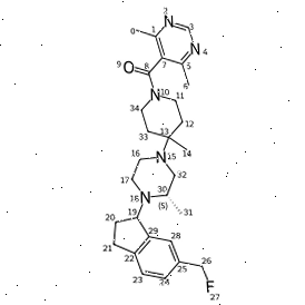 Cc1ncnc(C)c1C(=O)N1CCC(C)(N2CCN(C3CCc4ccc(CF)cc43)[C@@H](C)C2)CC1